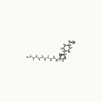 CCCCCCCCCCCc1csc(-c2ccc(C=O)cc2)n1